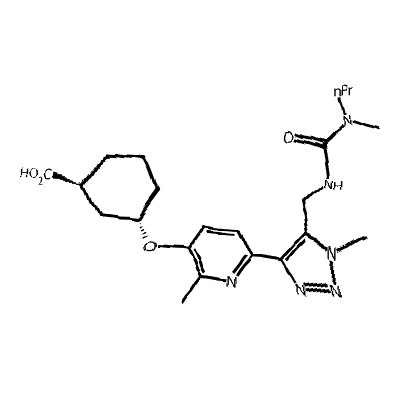 CCCN(C)C(=O)NCc1c(-c2ccc(O[C@H]3CCC[C@H](C(=O)O)C3)c(C)n2)nnn1C